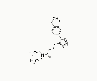 CCc1ccc(-n2nnnc2CCCC(=S)N(CC)CC)cc1